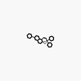 C1=CC(c2ccccc2)(c2ccccc2)Oc2ccc3cc(-c4ccccc4)ccc3c21